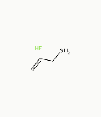 C=CC[SiH3].F